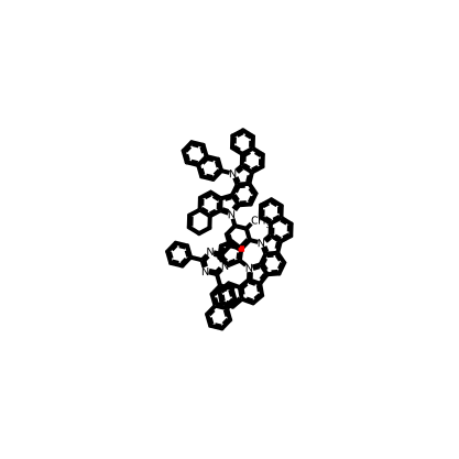 CC1C(n2c3c4ccccc4ccc3c3ccc4c5ccc6ccccc6c5n(-c5ccccc5)c4c32)=CC(c2nc(-c3ccccc3)nc(-c3ccc4ccccc4c3)n2)=CC1n1c2ccc3c4ccc5ccccc5c4n(-c4ccc5ccccc5c4)c3c2c2ccc3c(c21)CCC=C3